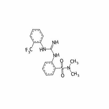 CN(C)S(=O)(=O)c1ccccc1NC(=N)Nc1ccccc1C(F)(F)F